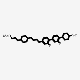 CCCC1CCC(c2ccc(-c3ccc(CCCCC4CCC(CCCOC)CC4)cc3F)cc2F)CC1